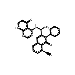 CC(Nc1ncnc2[nH]ccc(=O)c12)c1cc2cccc(C#N)c2c(=O)n1-c1ccccc1